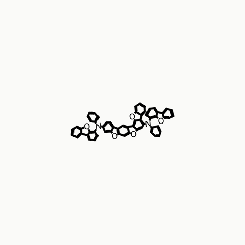 c1ccc(N(c2ccc3c(c2)oc2cc4oc5cc(N(c6ccccc6)c6cccc7c6oc6ccccc67)c6c7ccccc7oc6c5c4cc23)c2cccc3c2oc2ccccc23)cc1